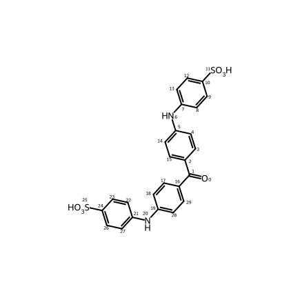 O=C(c1ccc(Nc2ccc(S(=O)(=O)O)cc2)cc1)c1ccc(Nc2ccc(S(=O)(=O)O)cc2)cc1